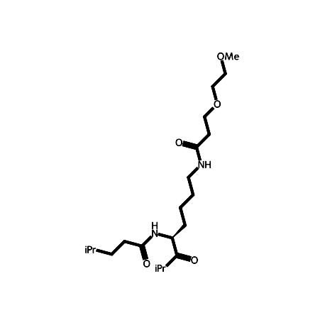 COCCOCCC(=O)NCCCC[C@H](NC(=O)CCC(C)C)C(=O)C(C)C